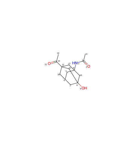 CC(=O)NC12CC3CC(O)(C1)CC(C(C)=O)(C3)C2